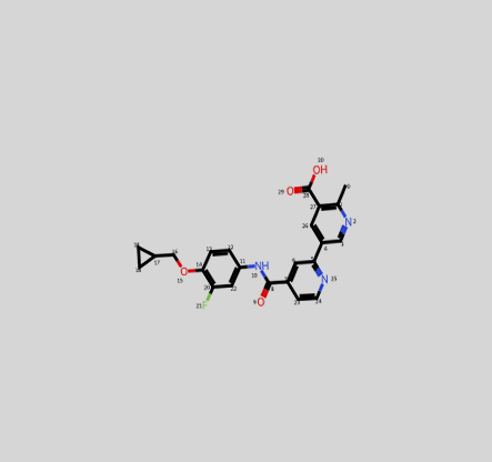 Cc1ncc(-c2cc(C(=O)Nc3ccc(OCC4CC4)c(F)c3)ccn2)cc1C(=O)O